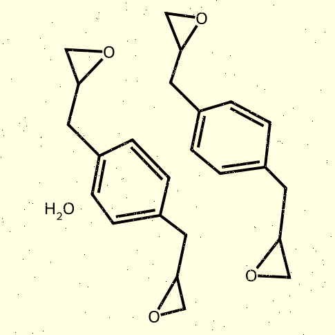 O.c1cc(CC2CO2)ccc1CC1CO1.c1cc(CC2CO2)ccc1CC1CO1